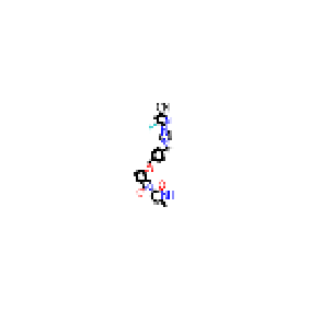 C=C1CC[C@H](N2Cc3c(OCc4ccc([C@@H](C)N5CCN(c6ncc(C#N)cc6F)CC5)cc4)cccc3C2=O)C(=O)N1